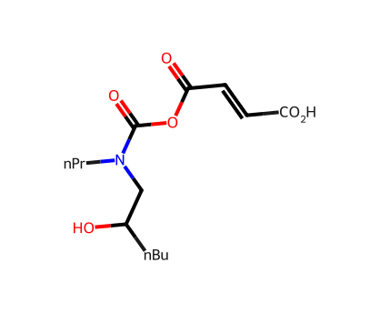 CCCCC(O)CN(CCC)C(=O)OC(=O)/C=C/C(=O)O